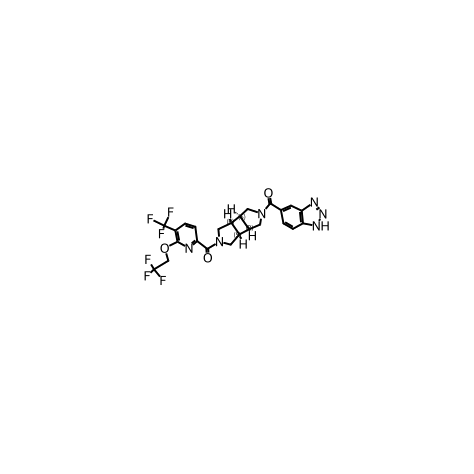 O=C(c1ccc2[nH]nnc2c1)N1C[C@@H]2[C@H](C1)[C@H]1CN(C(=O)c3ccc(C(F)(F)F)c(OCC(F)(F)F)n3)C[C@@H]21